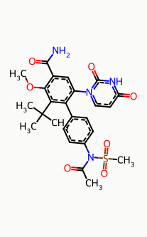 COc1c(C(N)=O)cc(-n2ccc(=O)[nH]c2=O)c(-c2ccc(N(C(C)=O)S(C)(=O)=O)cc2)c1C(C)(C)C